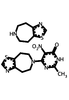 Cc1nc(N2CCc3ncsc3CC2)c([N+](=O)[O-])c(=O)[nH]1.c1nc2c(s1)CCNCC2